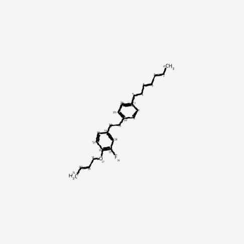 CCCCCCCc1ccc(CCc2ccc(OCCCC)c(F)c2)cc1